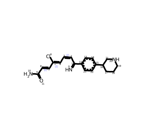 N=C(\C=C/C=C(Cl)/C=C/C(N)=O)c1ccc(C2CCCNC2)cc1